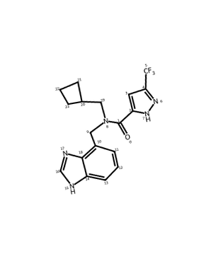 O=C(c1cc(C(F)(F)F)n[nH]1)N(Cc1cccc2[nH]cnc12)CC1CCC1